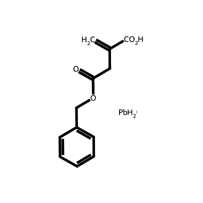 C=C(CC(=O)OCc1ccccc1)C(=O)O.[PbH2]